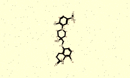 O=C1CCc2c(OCC3(O)CCN(c4cc([N+](=O)[O-])ccc4Cl)CC3)ccc(F)c2N1